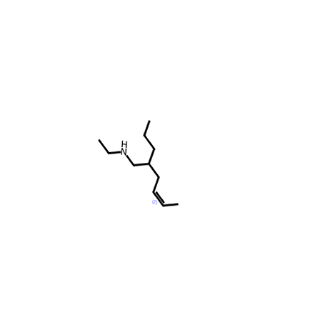 C/C=C\CC(CCC)CNCC